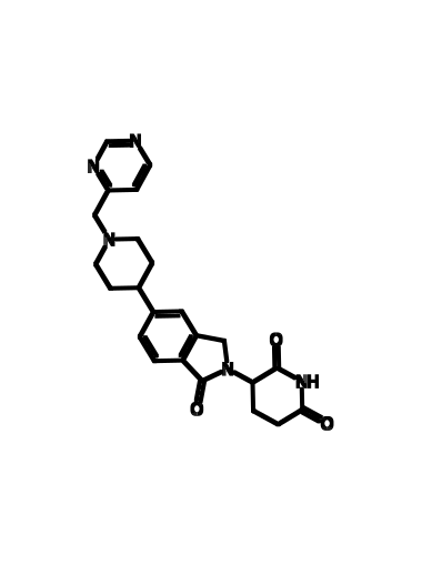 O=C1CCC(N2Cc3cc(C4CCN(Cc5ccncn5)CC4)ccc3C2=O)C(=O)N1